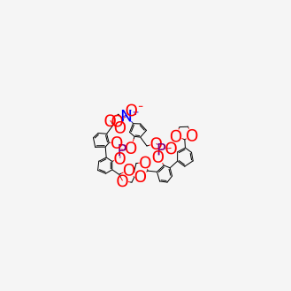 O=[N+]([O-])c1ccc(COp2oc3c(C4OCCO4)cccc3c3cccc(C4OCCO4)c3o2)c(Op2oc3c(C4OCCO4)cccc3c3cccc(C4OCCO4)c3o2)c1